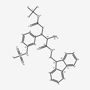 CC(C)(C)OC(=O)CC(c1cccc(OS(C)(=O)=O)c1)C(N)C(=O)OCC1c2ccccc2-c2ccccc21